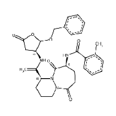 C=C(N[C@H]1CC(=O)OC1OCc1ccccc1)[C@@H]1CCCN2C(=O)CC[C@H](NC(=O)c3ccccc3C)C(=O)N12